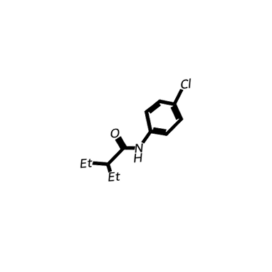 CCC(CC)C(=O)Nc1ccc(Cl)cc1